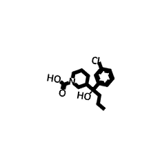 CCC[C@](O)(c1cccc(Cl)c1)C1CCCN(C(=O)O)C1